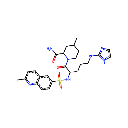 Cc1ccc2cc(S(=O)(=O)N[C@@H](CCCNc3ncc[nH]3)C(=O)N3CCC(C)CC3C(N)=O)ccc2n1